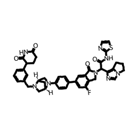 O=C1CCC(c2cccc(CN3C[C@H]4C[C@@H]3CN4c3ccc(-c4cc(F)c5c(c4)C(=O)N(C(C(=O)Nc4nccs4)c4ncn6c4CCC6)C5)cc3)c2)C(=O)N1